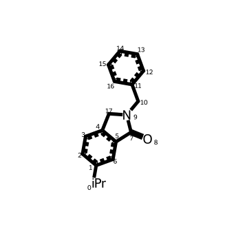 CC(C)c1ccc2c(c1)C(=O)N(Cc1ccccc1)C2